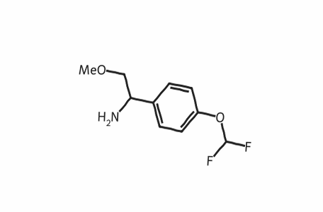 COCC(N)c1ccc(OC(F)F)cc1